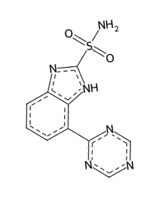 NS(=O)(=O)c1nc2cccc(-c3ncncn3)c2[nH]1